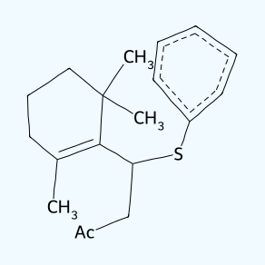 CC(=O)CC(Sc1ccccc1)C1=C(C)CCCC1(C)C